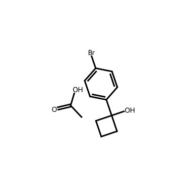 CC(=O)O.OC1(c2ccc(Br)cc2)CCC1